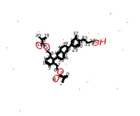 C=C(C)C(=O)OCCc1cccc(CCOC(=O)C(=C)C)c1-c1ccc2cc(-c3ccc(CCCO)c(C)c3)ccc2c1